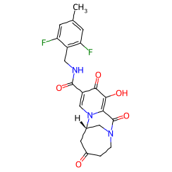 Cc1cc(F)c(CNC(=O)c2cn3c(c(O)c2=O)C(=O)N2CCC(=O)C[C@H]3C2)c(F)c1